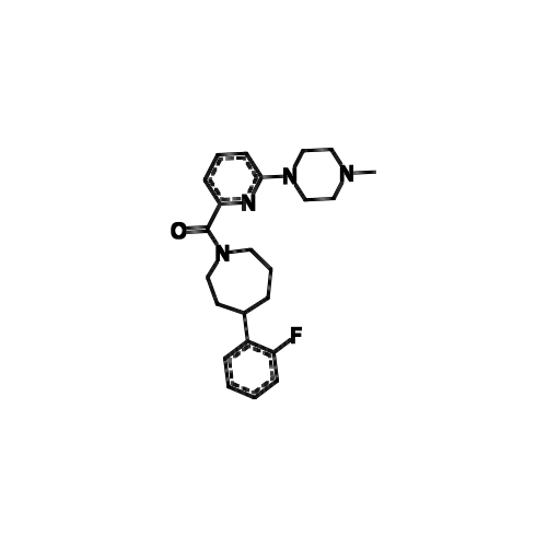 CN1CCN(c2cccc(C(=O)N3CCCC(c4ccccc4F)CC3)n2)CC1